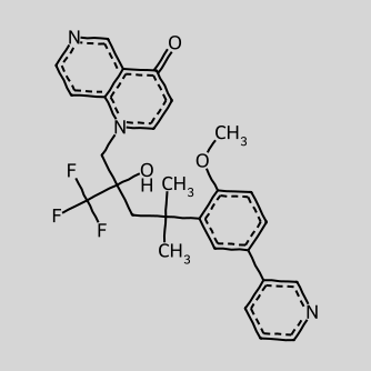 COc1ccc(-c2cccnc2)cc1C(C)(C)CC(O)(Cn1ccc(=O)c2cnccc21)C(F)(F)F